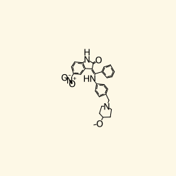 COC1CCN(Cc2ccc(NC(=C3C(=O)Nc4ccc([N+](=O)[O-])cc43)c3ccccc3)cc2)CC1